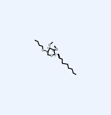 CCCCCCCC=C[C@@H]1OC[C@@H](OCCCC)[C@H](OC)[C@]12CO2